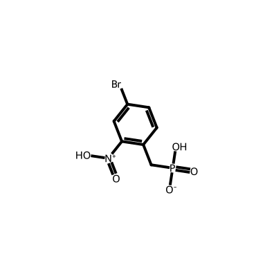 O=[N+](O)c1cc(Br)ccc1CP(=O)([O-])O